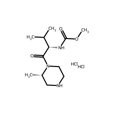 COC(=O)N[C@H](C(=O)N1CCNC[C@@H]1C)C(C)C.Cl.Cl